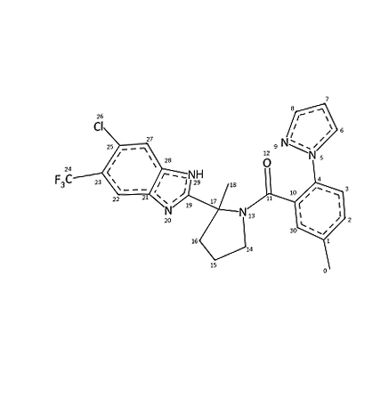 Cc1ccc(-n2cccn2)c(C(=O)N2CCCC2(C)c2nc3cc(C(F)(F)F)c(Cl)cc3[nH]2)c1